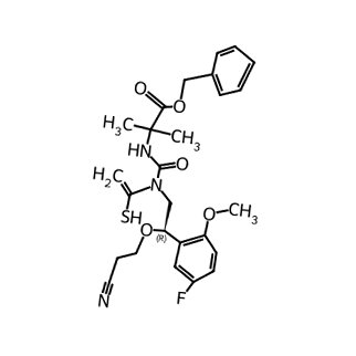 C=C(S)N(C[C@H](OCCC#N)c1cc(F)ccc1OC)C(=O)NC(C)(C)C(=O)OCc1ccccc1